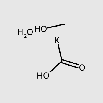 CO.O.O=[C](O)[K]